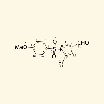 COc1ccc(S(=O)(=O)n2cc(C=O)cc2Br)cc1